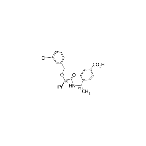 CC(C)[C@@H](OCc1cccc(Cl)c1)C(=O)N[C@@H](C)c1ccc(C(=O)O)cc1